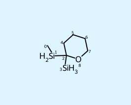 C[SiH2]C1([SiH3])CCCCO1